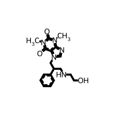 Cn1c(=O)c2c(ncn2CC(CNCCO)c2ccccc2)n(C)c1=O